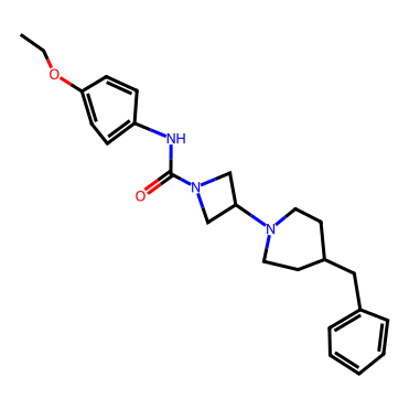 CCOc1ccc(NC(=O)N2CC(N3CCC(Cc4ccccc4)CC3)C2)cc1